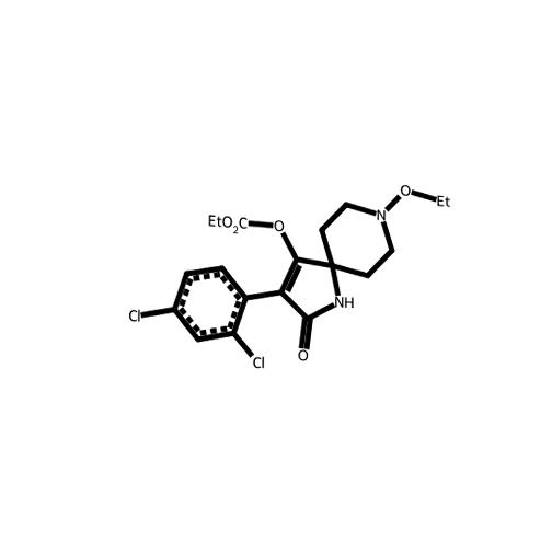 CCOC(=O)OC1=C(c2ccc(Cl)cc2Cl)C(=O)NC12CCN(OCC)CC2